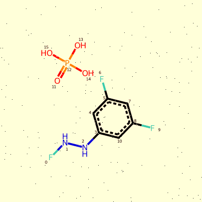 FNNc1cc(F)cc(F)c1.O=P(O)(O)O